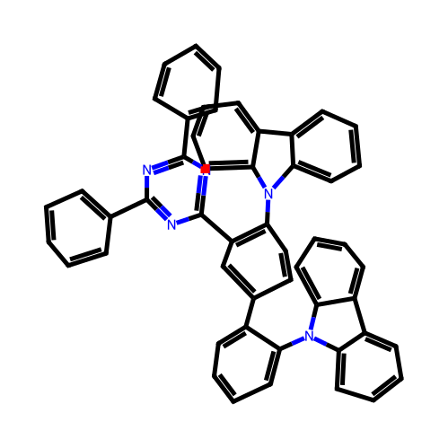 c1ccc(-c2nc(-c3ccccc3)nc(-c3cc(-c4ccccc4-n4c5ccccc5c5ccccc54)ccc3-n3c4ccccc4c4ccccc43)n2)cc1